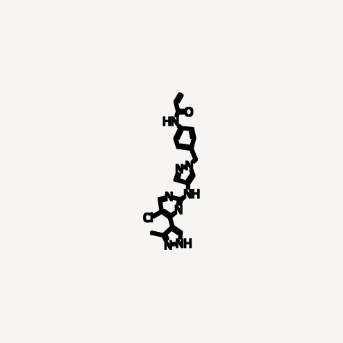 C=CC(=O)Nc1ccc(Cn2cc(Nc3ncc(Cl)c(-c4c[nH]nc4C)n3)cn2)cc1